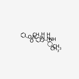 CN(C(=O)OCc1ccccc1)c1ccc2cc(C3NNC4=C3CCC(C)(C)C4)[nH]c2c1